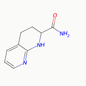 NC(=O)C1CCc2cccnc2N1